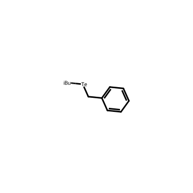 CCC(C)[Te]Cc1ccccc1